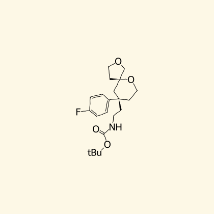 CC(C)(C)OC(=O)NCC[C@]1(c2ccc(F)cc2)CCO[C@]2(CCOC2)C1